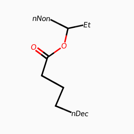 CCCCCCCCCCCCCC(=O)OC(CC)CCCCCCCCC